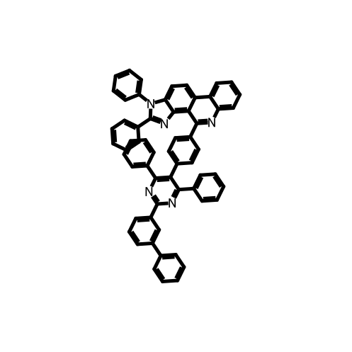 c1ccc(-c2cccc(-c3nc(-c4ccccc4)c(-c4ccc(-c5nc6ccccc6c6ccc7c(nc(-c8ccccc8)n7-c7ccccc7)c56)cc4)c(-c4ccccc4)n3)c2)cc1